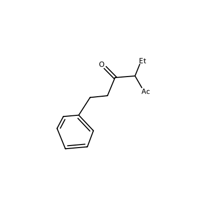 CCC(C(C)=O)C(=O)CCc1ccccc1